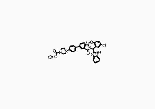 COc1ccc(Cl)cc1C(c1nc2ccccc2[nH]1)N1Cc2ccc(-c3ccc(N4CCN(C(=O)OC(C)(C)C)CC4)cc3)cc2C1=O